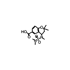 CN(C)S(=O)(=O)N(C)C1CC(C)(C)Oc2ccc(C(=O)O)cc21